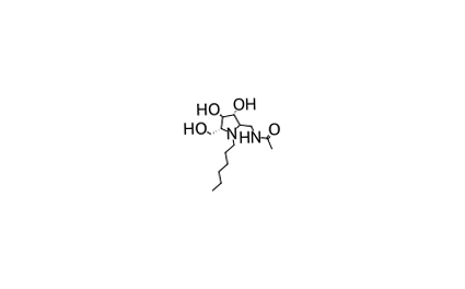 CCCCCCN1C(CNC(C)=O)[C@@H](O)[C@H](O)[C@H]1CO